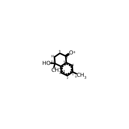 Cc1ccc2c(c1)C(=O)CCC2(C)O